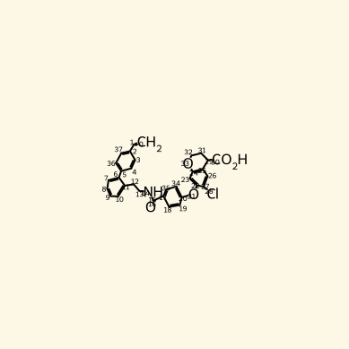 C=Cc1ccc(-c2ccccc2CCNC(=O)c2ccc(Oc3cc4c(cc3Cl)C(C(=O)O)CCO4)cc2)cc1